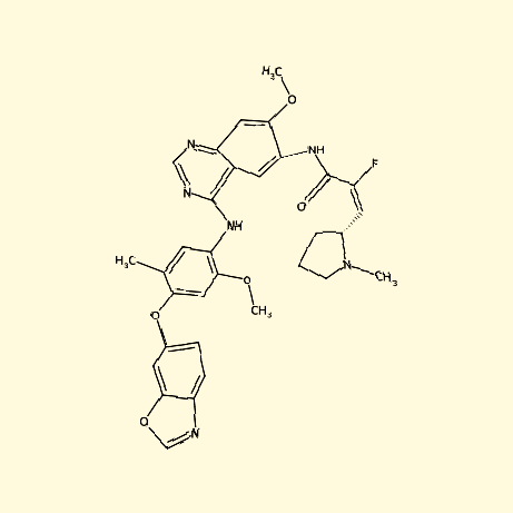 COc1cc2ncnc(Nc3cc(C)c(Oc4ccc5ncoc5c4)cc3OC)c2cc1NC(=O)/C(F)=C\[C@H]1CCCN1C